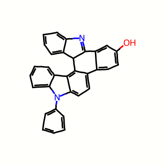 Oc1ccc2c(c1)C1=Nc3ccccc3C1c1c-2ccc2c1c1ccccc1n2-c1ccccc1